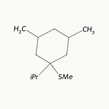 CSC1(C(C)C)CC(C)CC(C)C1